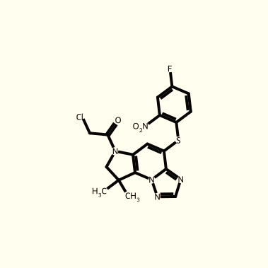 CC1(C)CN(C(=O)CCl)c2cc(Sc3ccc(F)cc3[N+](=O)[O-])c3ncnn3c21